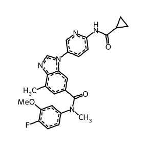 COc1cc(N(C)C(=O)c2cc(C)c3ncn(-c4ccc(NC(=O)C5CC5)nc4)c3c2)ccc1F